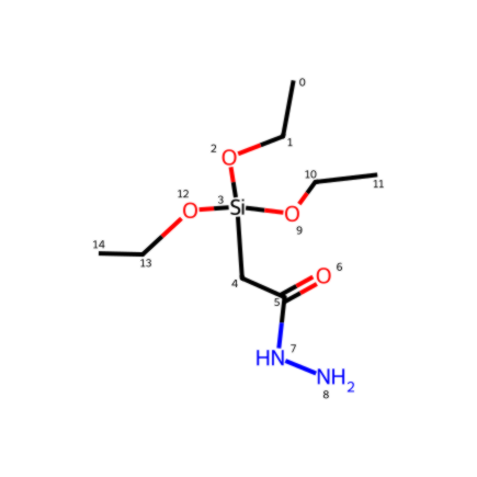 CCO[Si](CC(=O)NN)(OCC)OCC